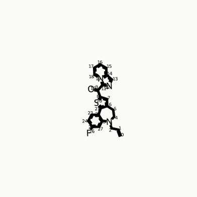 C=CCN1CCc2cc(C(=O)c3ncc4ccccn34)sc2-c2ccc(F)cc21